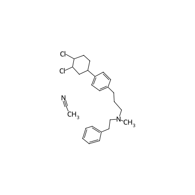 CC#N.CN(CCCc1ccc(C2CCC(Cl)C(Cl)C2)cc1)CCc1ccccc1